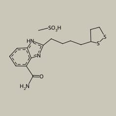 CS(=O)(=O)O.NC(=O)c1cccc2[nH]c(CCCCC3CCSS3)nc12